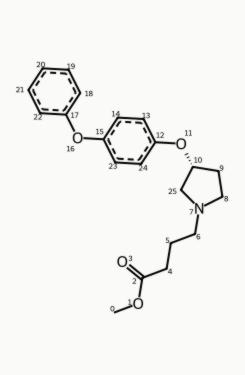 COC(=O)CCCN1CC[C@@H](Oc2ccc(Oc3ccccc3)cc2)C1